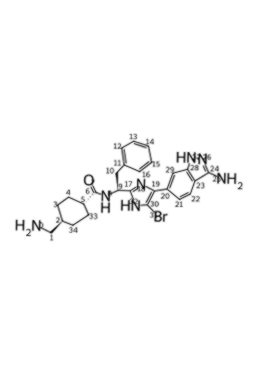 NC[C@H]1CC[C@H](C(=O)N[C@@H](Cc2ccccc2)c2nc(-c3ccc4c(N)n[nH]c4c3)c(Br)[nH]2)CC1